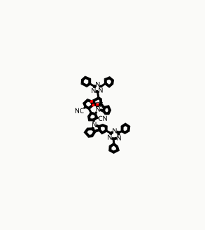 N#Cc1cccc(C(F)(F)F)c1-c1ccc(-n2c3ccccc3c3cc(-c4nc(-c5ccccc5)nc(-c5ccccc5)n4)ccc32)c(C#N)c1-n1c2ccccc2c2cc(-c3nc(-c4ccccc4)nc(-c4ccccc4)n3)ccc21